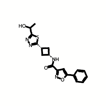 CC(O)c1nnc([C@H]2C[C@@H](NC(=O)c3cc(-c4ccccc4)on3)C2)s1